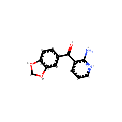 Nc1ncccc1C(=O)c1ccc2c(c1)OCO2